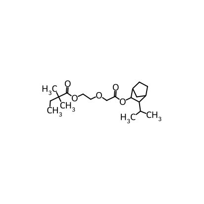 CCC(C)(C)C(=O)OCCOCC(=O)OC1C2CCC(C2)C1C(C)C